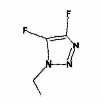 CCn1nnc(F)c1F